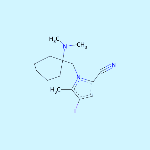 Cc1c(I)cc(C#N)n1CC1(N(C)C)CCCCC1